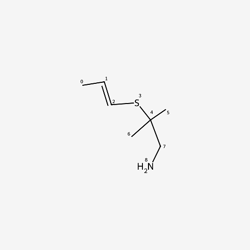 C/C=C/SC(C)(C)CN